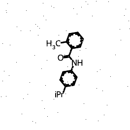 Cc1ccccc1C(=O)Nc1ccc(C(C)C)cc1